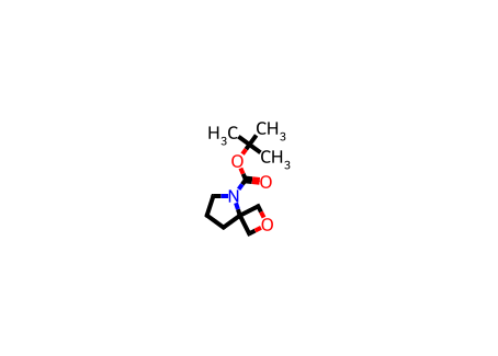 CC(C)(C)OC(=O)N1CCCC12COC2